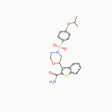 CC(C)Oc1ccc(S(=O)(=O)N2CCOC(c3c(C(N)=O)sc4ccccc34)C2)cc1